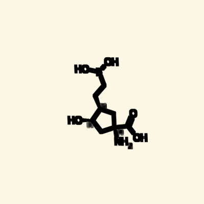 N[C@]1(C(=O)O)C[C@H](CCB(O)O)[C@@H](O)C1